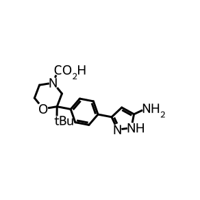 CC(C)(C)C1(c2ccc(-c3cc(N)[nH]n3)cc2)CN(C(=O)O)CCO1